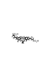 COc1cc2sc(C(=O)CC(C)C(=O)O)cc2c(F)c1OCC1(COc2c(OC)cc3sc(C(=O)C[C@H](C)C(=O)O)cc3c2F)CC1